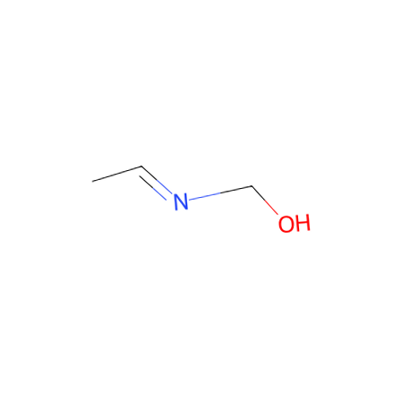 C/C=N/CO